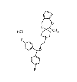 CC1Oc2ccccc2COC12CCN(CCOC(c1ccc(F)cc1)c1ccc(F)cc1)CC2.Cl